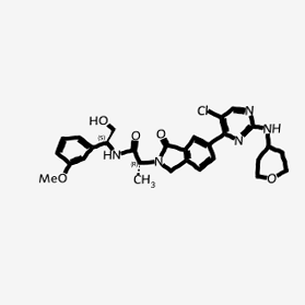 COc1cccc([C@@H](CO)NC(=O)[C@@H](C)N2Cc3ccc(-c4nc(NC5CCOCC5)ncc4Cl)cc3C2=O)c1